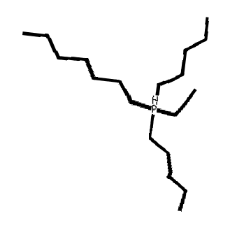 CCCCCCC[PH](CC)(CCCCC)CCCCC